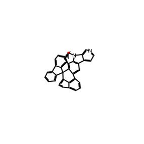 c1ccc2c(c1)-c1ccccc1C21c2cccc3cccc(c23)-c2cc3c4ccncc4n4c5cnccc5c(c21)c34